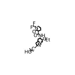 CCOc1cn2nc(CCC(C)(C)O)cc2cc1NC(=O)c1cccn(C(F)F)c1=O